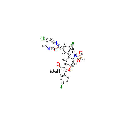 CNC(=O)c1c(-c2ccc(F)cc2)oc2cc(N(C)S(C)(=O)=O)c(-c3cc(F)cc(-c4nc5cc(Cl)cnc5o4)c3)cc12